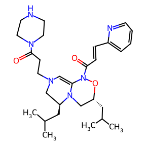 CC(C)C[C@@H]1CN2C(=CN(CCC(=O)N3CCNCC3)C[C@@H]2CC(C)C)N(C(=O)/C=C/c2ccccn2)O1